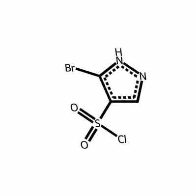 O=S(=O)(Cl)c1cn[nH]c1Br